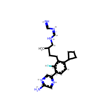 CC(CCc1c(C2CCC2)ccc(-c2cnc(N)cn2)c1F)CN/C=N\C=N